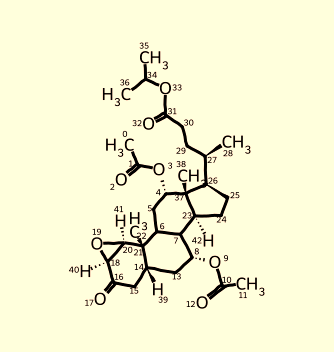 CC(=O)O[C@H]1CC2C([C@H](OC(C)=O)C[C@@H]3CC(=O)[C@H]4O[C@H]4[C@]23C)[C@@H]2CC[C@H]([C@H](C)CCC(=O)OC(C)C)[C@@]12C